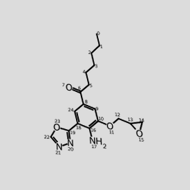 CCCCCCC(=O)c1cc(OCC2CO2)c(N)c(-c2nnco2)c1